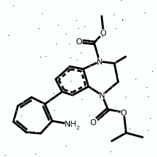 COC(=O)N1c2ccc(C3=C(N)CC=CC=C3)cc2N(C(=O)OC(C)C)CC1C